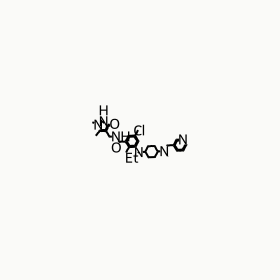 CCN(c1cc(Cl)cc(C(=O)NCc2c(C)n(C)[nH]c2=O)c1C)C1CCC(N(C)Cc2cccnc2)CC1